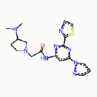 CN(C)C1CCN(CC(=O)Nc2cc(-n3cccn3)nc(-c3nccs3)n2)C1